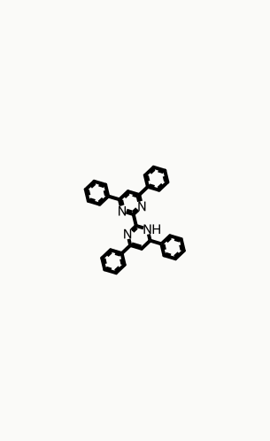 C1=C(c2ccccc2)N=C(c2nc(-c3ccccc3)cc(-c3ccccc3)n2)NC1c1ccccc1